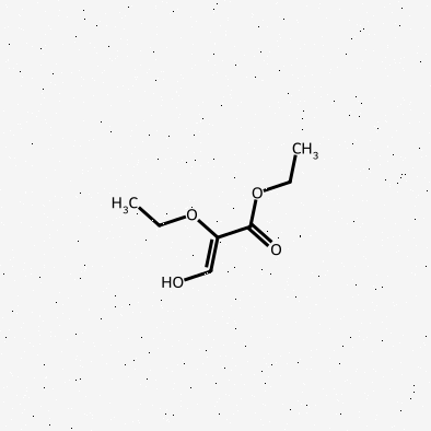 CCOC(=O)C(=CO)OCC